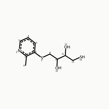 Cc1ncccc1SCC(O)C(O)CS